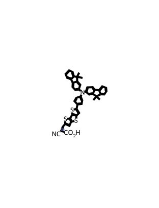 CC1(C)c2ccccc2-c2ccc(N(c3ccc(-c4cc5sc6cc(/C=C(/C#N)C(=O)O)sc6c5s4)cc3)c3ccc4c(c3)C(C)(C)c3ccccc3-4)cc21